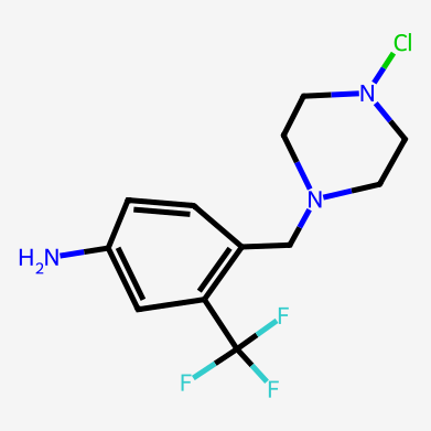 Nc1ccc(CN2CCN(Cl)CC2)c(C(F)(F)F)c1